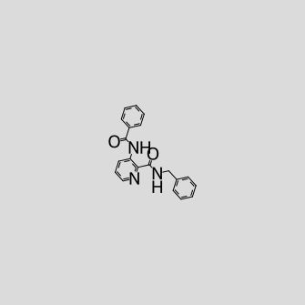 O=C(Nc1cccnc1C(=O)NCc1ccccc1)c1ccccc1